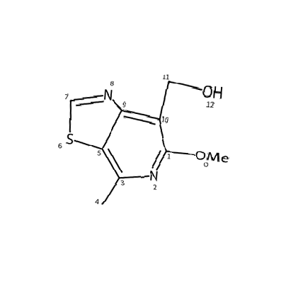 COc1nc(C)c2scnc2c1CO